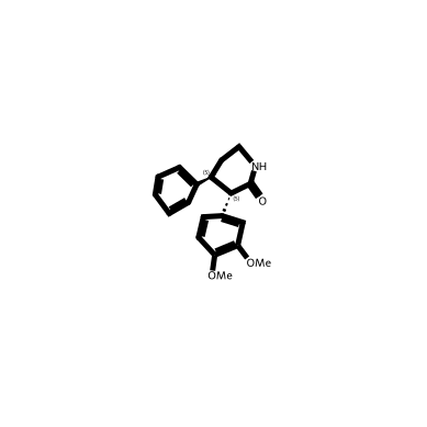 COc1ccc([C@H]2C(=O)NCC[C@@H]2c2ccccc2)cc1OC